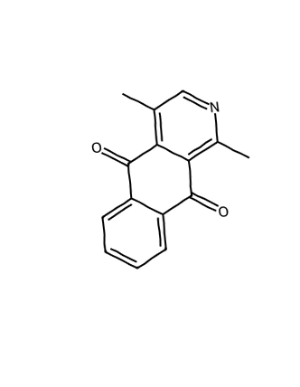 Cc1cnc(C)c2c1C(=O)c1ccccc1C2=O